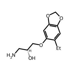 CCc1cc2c(cc1OC[C@H](O)CN)OCO2